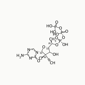 C#C[C@@]1(Cl)C(O)[C@@H]([C@@H](C)OP(=O)(O)OP(=O)(O)OP(=O)(O)O)O[C@H]1n1cnc(N)nc1=O